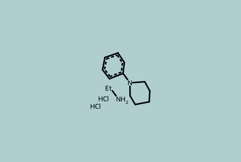 CCN.Cl.Cl.c1ccc(N2CCCCC2)cc1